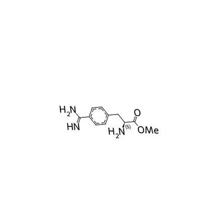 COC(=O)[C@@H](N)Cc1ccc(C(=N)N)cc1